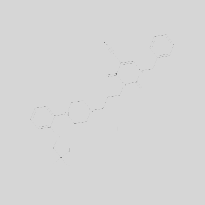 Cl.N#Cc1cn(Cc2ccccc2)c(=O)n(CCCN2CCN(c3ccccc3OCC(F)(F)F)CC2)c1=O